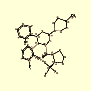 Cc1c(F)cccc1[C@H]1[C@@H](C(=O)N2CCC[C@H]2C(F)(F)F)CN(C2CCN(C)CC2)C[C@@H]1c1[c]cccc1O